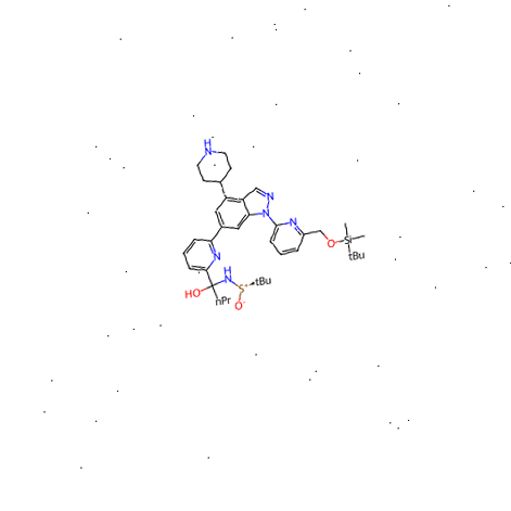 CCCC(O)(N[S@+]([O-])C(C)(C)C)c1cccc(-c2cc(C3CCNCC3)c3cnn(-c4cccc(CO[Si](C)(C)C(C)(C)C)n4)c3c2)n1